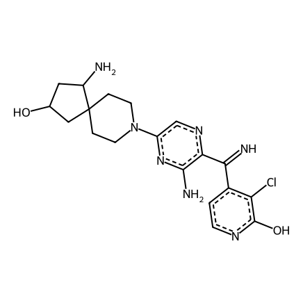 N=C(c1ccnc(O)c1Cl)c1ncc(N2CCC3(CC2)CC(O)CC3N)nc1N